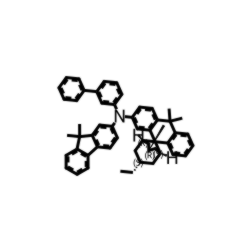 CC[C@@H]1C[C@H]2C[C@H](C)C[C@@H](C1)C21c2ccccc2C(C)(C)c2ccc(N(c3cccc(-c4ccccc4)c3)c3ccc4c(c3)C(C)(C)c3ccccc3-4)cc21